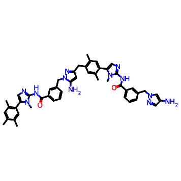 Cc1cc(C)c(-c2cnc(NC(=O)c3cccc(Cn4nc(Cc5cc(C)c(-c6cnc(NC(=O)c7cccc(Cn8cc(N)cn8)c7)n6C)cc5C)cc4N)c3)n2C)cc1C